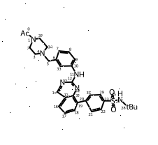 CC(=O)N1CCN(Cc2cccc(Nc3ncc4cccc(-c5ccc(S(=O)(=O)NC(C)(C)C)cc5)c4n3)c2)CC1